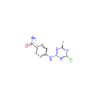 Cc1nc(Cl)nc(Nc2ccc(C(N)=O)cc2)n1